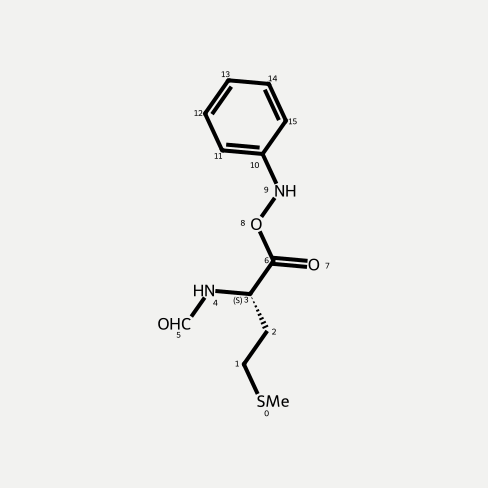 CSCC[C@H](NC=O)C(=O)ONc1ccccc1